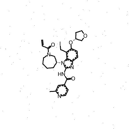 C=CC(=O)N1CCCC[C@@H](n2c(NC(=O)c3ccnc(C)c3)nc3ccc(O[C@@H]4CCOC4)c(CI)c32)C1